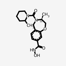 CC1CCCCN1C(=O)N1Cc2ccc(C(=O)NO)cc2OC[C@@H]1C